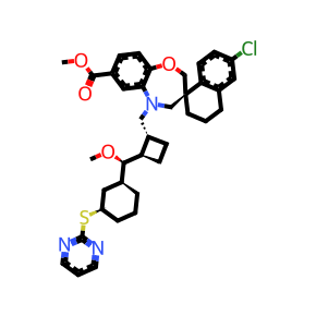 COC(=O)c1ccc2c(c1)N(C[C@@H]1CC[C@H]1[C@H](OC)[C@H]1CCC[C@@H](Sc3ncccn3)C1)C[C@@]1(CCCc3cc(Cl)ccc31)CO2